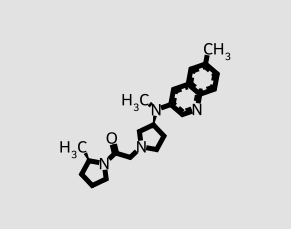 Cc1ccc2ncc(N(C)[C@H]3CCN(CC(=O)N4CCC[C@H]4C)C3)cc2c1